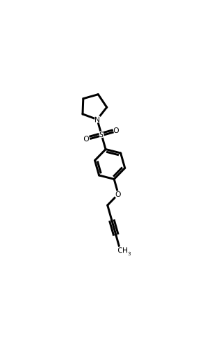 CC#CCOc1ccc(S(=O)(=O)N2CCCC2)cc1